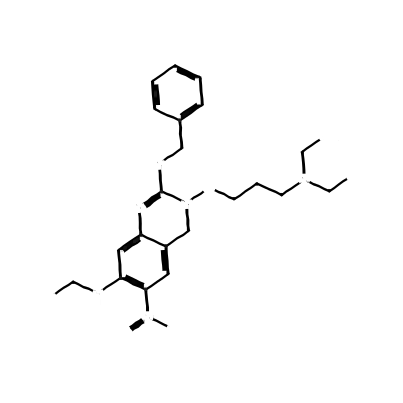 CCNc1cc2c(cc1[N+](=O)[O-])CN(OCCCN(CC)CC)C(NCc1ccccc1)=N2